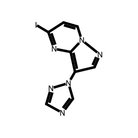 Ic1ccn2ncc(-n3cncn3)c2n1